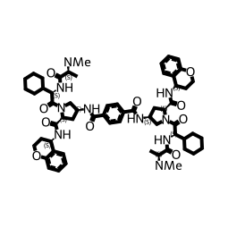 CN[C@@H](C)C(=O)N[C@H](C(=O)N1C[C@@H](NC(=O)c2ccc(C(=O)N[C@H]3C[C@@H](C(=O)N[C@H]4CCOc5ccccc54)N(C(=O)[C@@H](NC(=O)[C@H](C)NC)C4CCCCC4)C3)cc2)C[C@H]1C(=O)N[C@H]1CCOc2ccccc21)C1CCCCC1